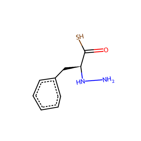 NN[C@@H](Cc1ccccc1)C(=O)S